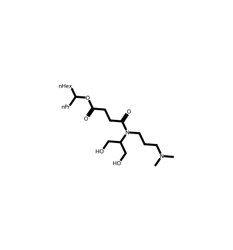 CCCCCCC(CCC)OC(=O)CCC(=O)N(CCCN(C)C)C(CO)CO